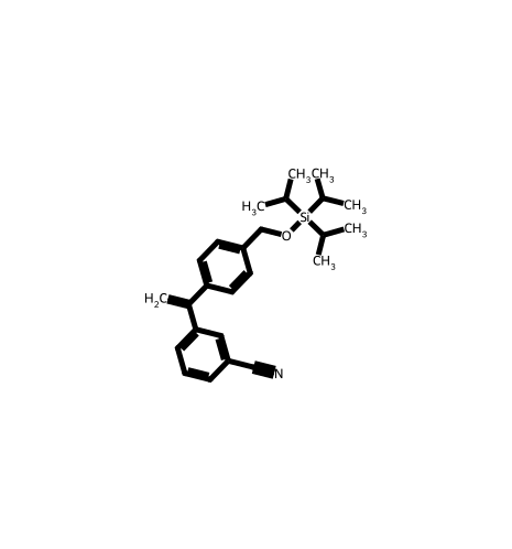 C=C(c1ccc(CO[Si](C(C)C)(C(C)C)C(C)C)cc1)c1cccc(C#N)c1